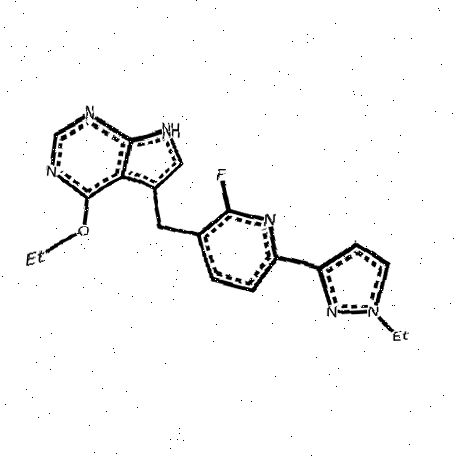 CCOc1ncnc2[nH]cc(Cc3ccc(-c4[c]cn(CC)n4)nc3F)c12